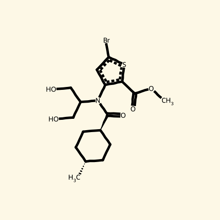 COC(=O)c1sc(Br)cc1N(C(=O)[C@H]1CC[C@H](C)CC1)C(CO)CO